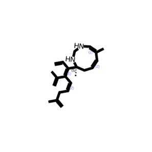 C=C/C(=C(/C=C\CC(=C)C)C(=C)C)[C@]1(C)C/C=C\C(C)=C/NCN1